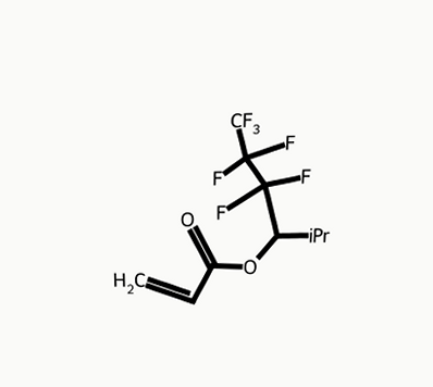 C=CC(=O)OC(C(C)C)C(F)(F)C(F)(F)C(F)(F)F